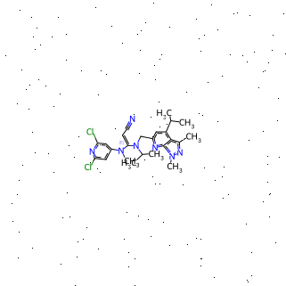 Cc1nn(C)c2nc(CN(/C(=C\C#N)N(C)c3cc(Cl)nc(Cl)c3)C(C)C)cc(C(C)C)c12